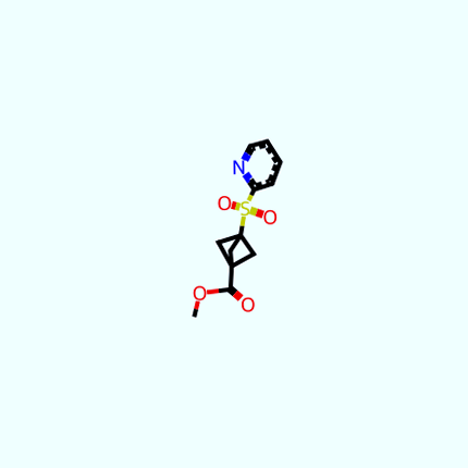 COC(=O)C12CC(S(=O)(=O)c3ccccn3)(C1)C2